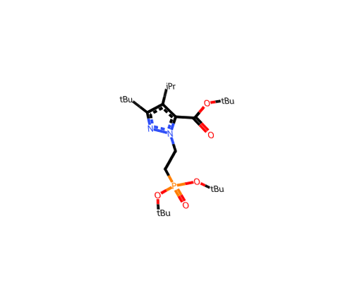 CC(C)c1c(C(C)(C)C)nn(CCP(=O)(OC(C)(C)C)OC(C)(C)C)c1C(=O)OC(C)(C)C